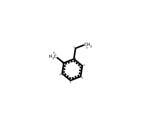 CCc1ccccc1C